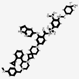 COc1ccc(CN2CCN(C3CC4(CCN(c5ccc(C(=O)NS(=O)(=O)c6ccc(NC[C@H]7CC[C@](C)(O)CC7)c([N+](=O)[O-])c6)c(Oc6cnc7[nH]ccc7c6)c5)CC4)C3)C(c3ccccc3C3CC3)C2)cc1